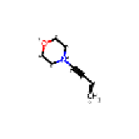 C=CC#CN1CCOCC1